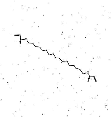 C=CC(=O)OCCCCCCCCCCCCCCCCCOC(=O)C=C